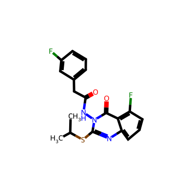 CC(C)Sc1nc2cccc(F)c2c(=O)n1NC(=O)Cc1cccc(F)c1